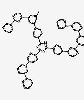 Cc1cc(-c2ccc(-c3nc(-c4ccc(-c5cccc(-c6ccccc6)c5)cc4)nc(-c4ccc(-c5cccc(-c6cccc(-c7cccc(-c8ccccc8)c7)c6)c5)cc4)n3)cc2)cc(-c2cccc(-c3ccccc3)c2)c1